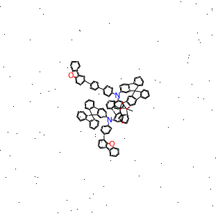 CC1(C)c2ccccc2-c2ccc(N(c3ccc(-c4ccc(-c5ccc6oc7ccccc7c6c5)cc4)cc3)c3ccc4c(c3)C3(c5ccccc5-c5ccc(CC6(C)c7ccccc7-c7c(N(c8ccc(-c9cccc%10c9oc9ccccc9%10)cc8)c8ccc9c(c8)C8(c%10ccccc%10-c%10ccccc%108)c8ccccc8-9)cccc76)cc53)c3ccccc3-4)cc21